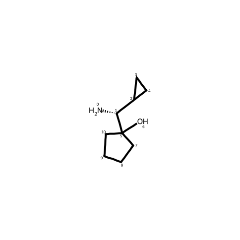 N[C@H](C1CC1)C1(O)CCCC1